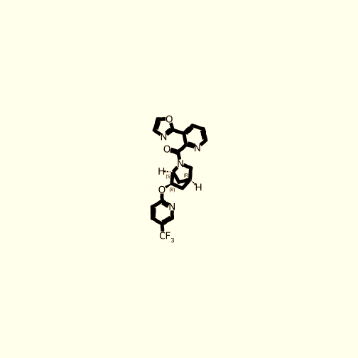 O=C(c1ncccc1-c1ncco1)N1C[C@H]2C[C@@H](Oc3ccc(C(F)(F)F)cn3)[C@@H]1C2